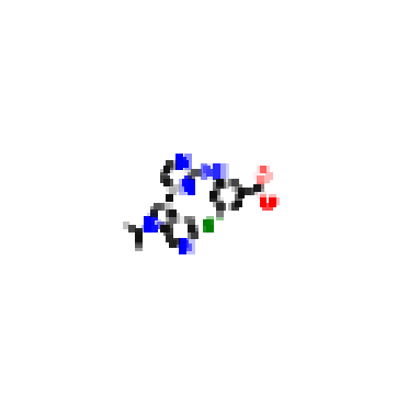 COC(=O)c1cc(Br)cc(Nc2nccc(-c3cn(C(C)C)c4cnccc34)n2)c1